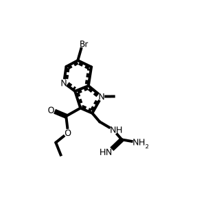 CCOC(=O)c1c(CNC(=N)N)n(C)c2cc(Br)cnc12